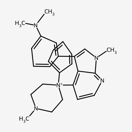 CN1CC[N+](c2ccccc2)(c2ccnc3c2c(-c2cccc(N(C)C)c2)cn3C)CC1